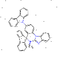 CN1c2nc3ccccc3n2-c2ccc(-n3c4ccccc4c4ccccc43)cc2C12c1ccccc1-c1ccccc12